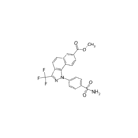 COC(=O)c1ccc2c(ccc3c(C(F)(F)F)nn(-c4ccc(S(N)(=O)=O)cc4)c32)c1